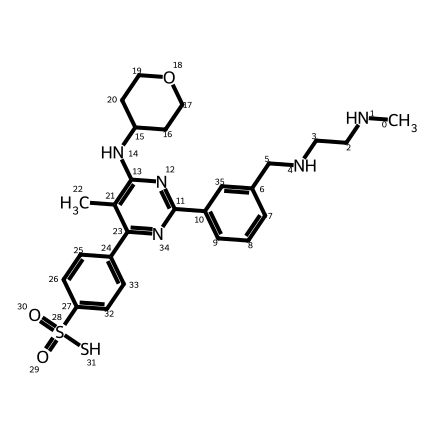 CNCCNCc1cccc(-c2nc(NC3CCOCC3)c(C)c(-c3ccc(S(=O)(=O)S)cc3)n2)c1